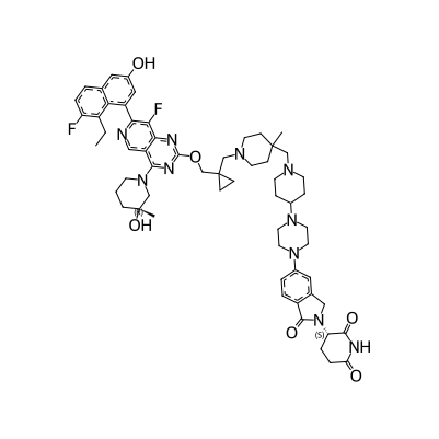 CCc1c(F)ccc2cc(O)cc(-c3ncc4c(N5CCC[C@@](C)(O)C5)nc(OCC5(CN6CCC(C)(CN7CCC(N8CCN(c9ccc%10c(c9)CN([C@H]9CCC(=O)NC9=O)C%10=O)CC8)CC7)CC6)CC5)nc4c3F)c12